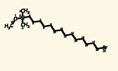 CO[Si](C)(C)CCCCCCCCCCCCCCBr